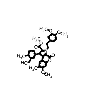 COC(=O)c1c(-c2ccc(C)c(CO)c2)c2c3cc(C)c(OC)cc3oc(=O)c2n1CCc1ccc(OC)c(OC)c1